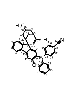 CC1=CC2(c3ccccc3-c3cc(Cl)c(N(c4ccccc4)c4ccc(C#N)cc4)cc32)C2CC(C)CC1C2